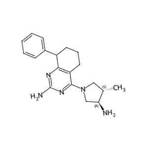 C[C@H]1CN(c2nc(N)nc3c2CCCC3c2ccccc2)C[C@@H]1N